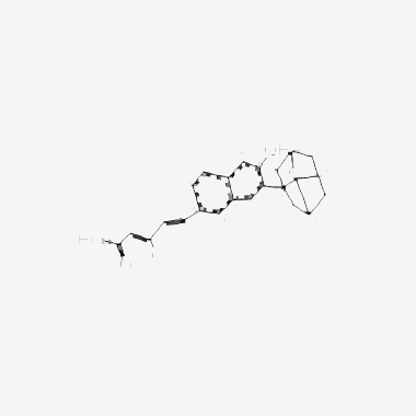 CC(/C=C/c1ccc2cc(O)c(C34CC5CC(CC(C5)C3)C4)cc2c1)=C\C(=O)O